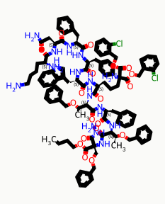 CCCCOC(=O)[C@@](COCc1ccccc1)(NC(=O)[C@@H](NC(=O)[C@H](Cc1ccccc1)NC(=O)[C@@H](NC(=O)[C@H](CCCC(N)(C(=O)OCc1ccccc1Cl)C(=O)OCc1ccccc1Cl)NC(=O)[C@H](Cc1c[nH]c2ccccc12)NC(=O)[C@H](Cc1ccccc1)NC(=O)[C@H](Cc1ccccc1)NC(=O)[C@H](CC(N)=O)NC(=O)[C@@H](N)CCCCN)[C@@H](C)OCc1ccccc1)[C@@H](C)OCc1ccccc1)C(=O)NN